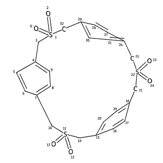 O=S1(=O)Cc2ccc(cc2)CS(=O)(=O)Cc2ccc(cc2)CS(=O)(=O)Cc2ccc(cc2)C1